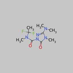 CN(C)c1nn(C(=O)N(C)C(C)(F)F)c(=O)n1C